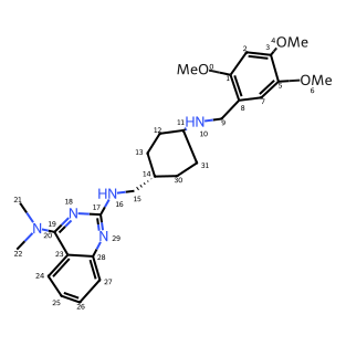 COc1cc(OC)c(OC)cc1CN[C@H]1CC[C@@H](CNc2nc(N(C)C)c3ccccc3n2)CC1